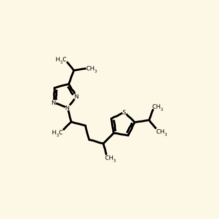 CC(C)c1cnn(C(C)CCC(C)c2csc(C(C)C)c2)n1